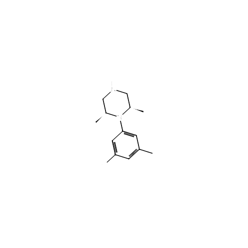 Cc1cc(Br)cc(N2[C@H](C)CNC[C@@H]2C)c1